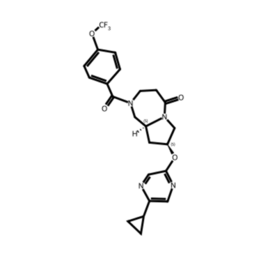 O=C(c1ccc(OC(F)(F)F)cc1)N1CCC(=O)N2C[C@@H](Oc3cnc(C4CC4)cn3)C[C@H]2C1